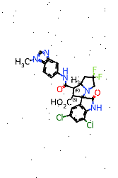 Cn1cnc2cc(NC(=O)[C@H]3[C@H]4CC(F)(F)CN4[C@]4(C(=O)Nc5c(Cl)cc(Cl)cc54)[C@H]3C(=O)O)ccc21